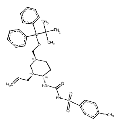 C=CC[C@H]1C[C@@H](CO[Si](c2ccccc2)(c2ccccc2)C(C)(C)C)CC[C@@H]1NC(=O)NS(=O)(=O)c1ccc(C)cc1